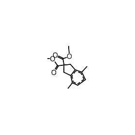 COC(=O)C1(C(=O)OC)Cc2c(C)ccc(C)c2C1